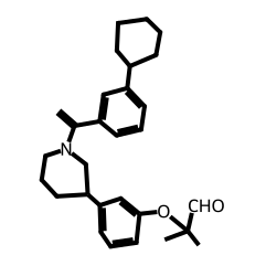 C=C(c1cccc(C2CCCCC2)c1)N1CCCC(c2cccc(OC(C)(C)C=O)c2)C1